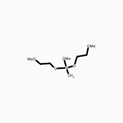 COCCO[Si](C)(OC)OCCOC